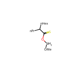 CCCCCCC(CCC)C(=S)O[SiH2]OC